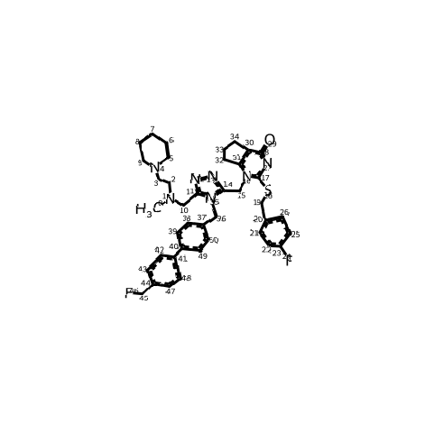 CN(CCN1CCCCC1)Cc1nnc(Cn2c(SCc3ccc(F)cc3)nc(=O)c3c2CCC3)n1Cc1ccc(-c2ccc(CF)cc2)cc1